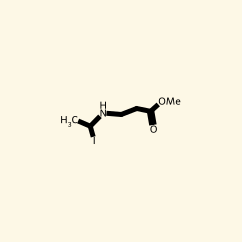 COC(=O)CCNC(C)I